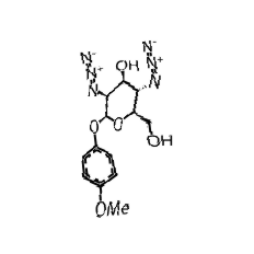 COc1ccc(O[C@@H]2O[C@H](CO)[C@@H](N=[N+]=[N-])[C@H](O)[C@@H]2N=[N+]=[N-])cc1